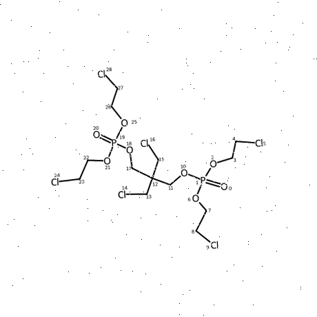 O=P(OCCCl)(OCCCl)OCC(CCl)(CCl)COP(=O)(OCCCl)OCCCl